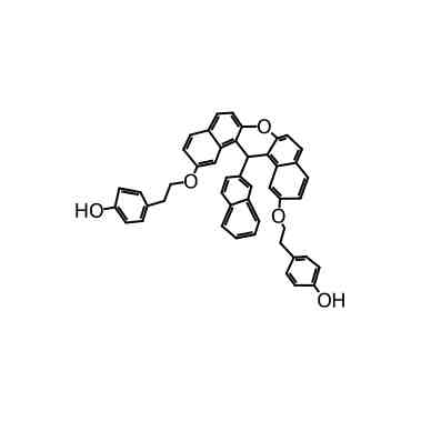 Oc1ccc(CCOc2ccc3ccc4c(c3c2)C(c2ccc3ccccc3c2)c2c(ccc3ccc(OCCc5ccc(O)cc5)cc23)O4)cc1